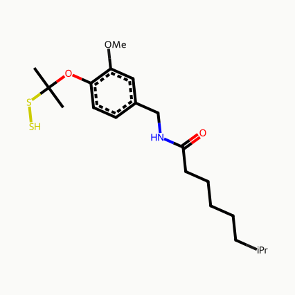 COc1cc(CNC(=O)CCCCCC(C)C)ccc1OC(C)(C)SS